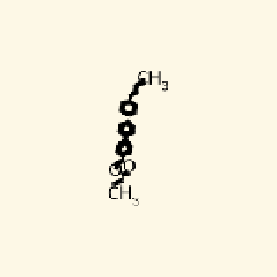 CCCCC[C@H]1CC[C@H](c2ccc(-c3ccc([C@@H]4CO[C@@H](CCC)CO4)cc3)cc2)CC1